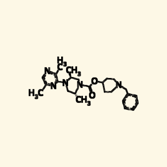 Cc1cnc(C)c(N2C[C@@H](C)N(C(=O)OC3CCN(Cc4ccccc4)CC3)C[C@@H]2C)n1